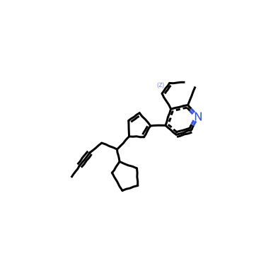 CC#CCC(C1C=CC(c2c#cnc(C)c2/C=C\C)=C1)C1CCCC1